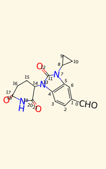 O=Cc1ccc2c(c1)n(C1CC1)c(=O)n2C1CCC(=O)NC1=O